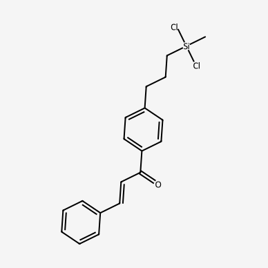 C[Si](Cl)(Cl)CCCc1ccc(C(=O)C=Cc2ccccc2)cc1